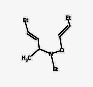 CCC=CON(CC)C(C)C=CCC